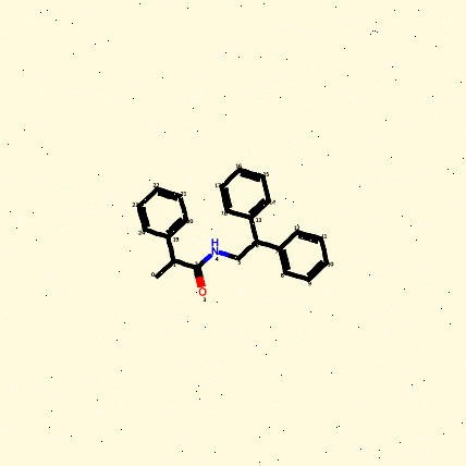 CC(C(=O)NCC(c1ccccc1)c1ccccc1)c1ccccc1